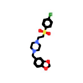 O=S(=O)(CCN1CCN(Cc2ccc3c(c2)OCO3)CC1)c1ccc(Cl)cc1